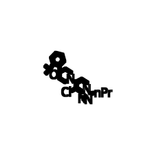 CCCc1nnc2c(Cl)c(N3CCC4(CC3)OC(C)(C)c3ccccc34)ccn12